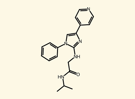 CC(C)NC(=O)CNc1nc(-c2ccncc2)cn1-c1ccccc1